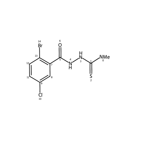 CNC(=S)NNC(=O)c1cc(Cl)ccc1Br